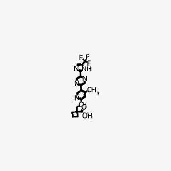 Cc1cc(OCC2(C(=O)O)CCC2)ncc1-c1cnc(-c2ncc(C(F)(F)F)[nH]2)cn1